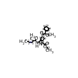 C=C/C=C\C(=C)C(=O)Nc1nn(C(=O)OCC)c2c1CN(C(=O)[C@@H](OC)c1ccccc1)C2